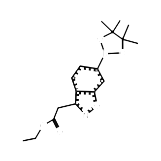 CCOC(=O)Cc1noc2cc(B3OC(C)(C)C(C)(C)O3)ccc12